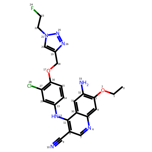 CCOc1cc2ncc(C#N)c(Nc3ccc(OCc4cn(CCF)nn4)c(Cl)c3)c2cc1N